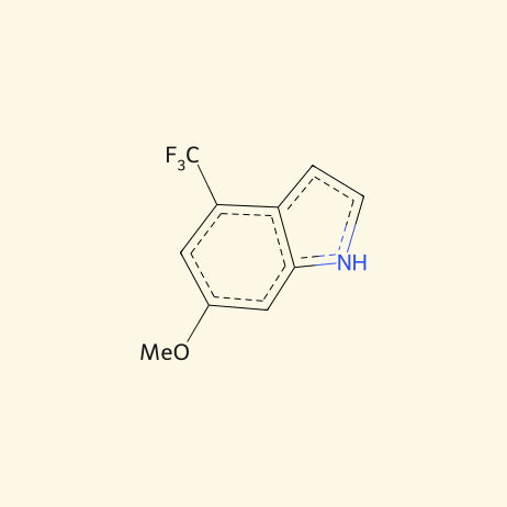 COc1cc(C(F)(F)F)c2cc[nH]c2c1